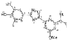 CCCc1cc(-c2noc(-c3cc(OC)cc(C(CC)CC)n3)n2)cc(C)c1O